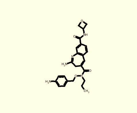 CCCN(OCc1ccc(N)cc1)C(=O)C1=Cc2ccc(C(=O)NC3COC3)cc2N=C(N)C1